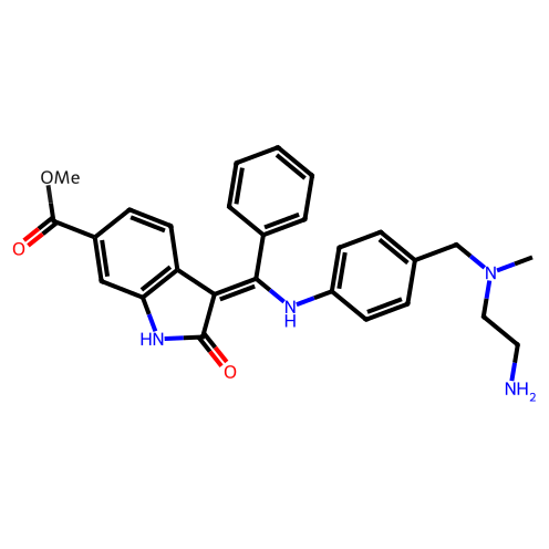 COC(=O)c1ccc2c(c1)NC(=O)/C2=C(\Nc1ccc(CN(C)CCN)cc1)c1ccccc1